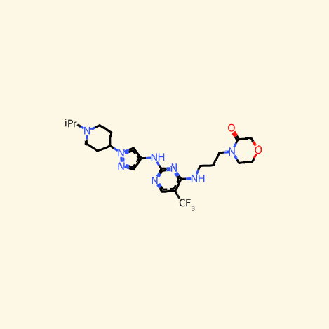 CC(C)N1CCC(n2cc(Nc3ncc(C(F)(F)F)c(NCCCN4CCOCC4=O)n3)cn2)CC1